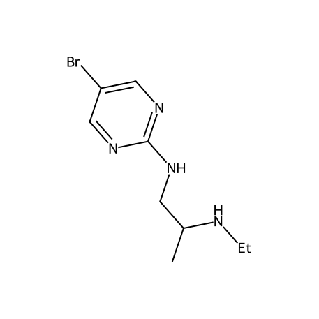 CCNC(C)CNc1ncc(Br)cn1